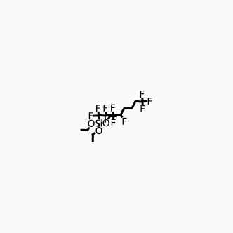 CCO[Si](OCC)(OCC)C(F)(F)C(F)(F)C(F)(F)C(F)CCCC(F)(F)F